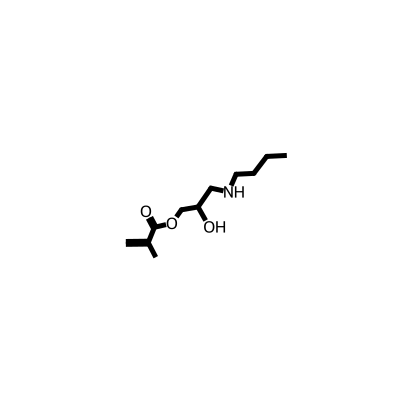 C=C(C)C(=O)OCC(O)CNCCCC